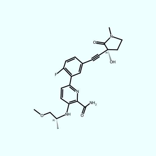 COC[C@@H](C)Nc1ccc(-c2cc(C#C[C@]3(O)CCN(C)C3=O)ccc2F)nc1C(N)=O